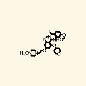 CN1CCN(CCOC2=CC(OC3CCOCC3)=C3C(Nc4c(CI)ccc5c4OCO5)=NC=NC3C2)CC1